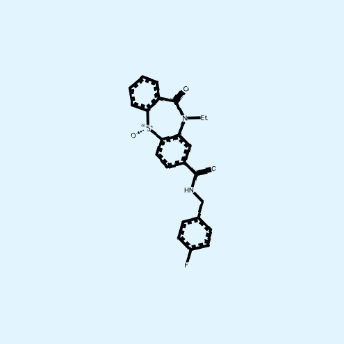 CCN1C(=O)c2ccccc2[S@@+]([O-])c2ccc(C(=O)NCc3ccc(F)cc3)cc21